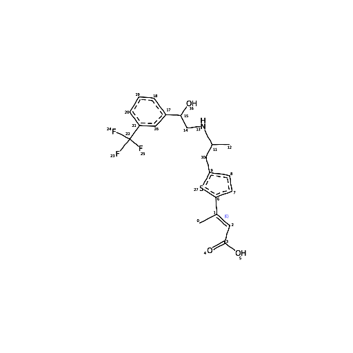 C/C(=C\C(=O)O)c1ccc(CC(C)NCC(O)c2cccc(C(F)(F)F)c2)s1